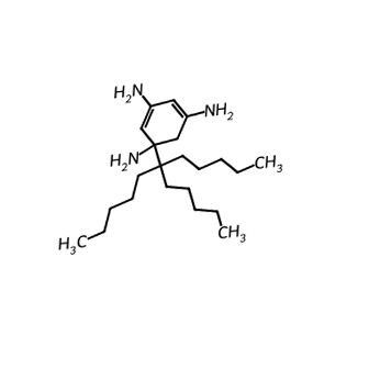 CCCCCC(CCCCC)(CCCCC)C1(N)C=C(N)C=C(N)C1